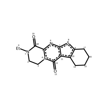 CCN1CCn2c(nc3sc4c(c3c2=O)CCCC4)C1=O